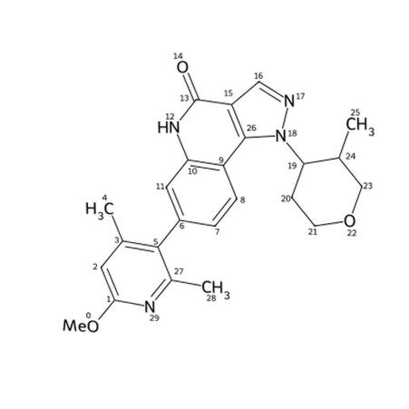 COc1cc(C)c(-c2ccc3c(c2)[nH]c(=O)c2cnn(C4CCOCC4C)c23)c(C)n1